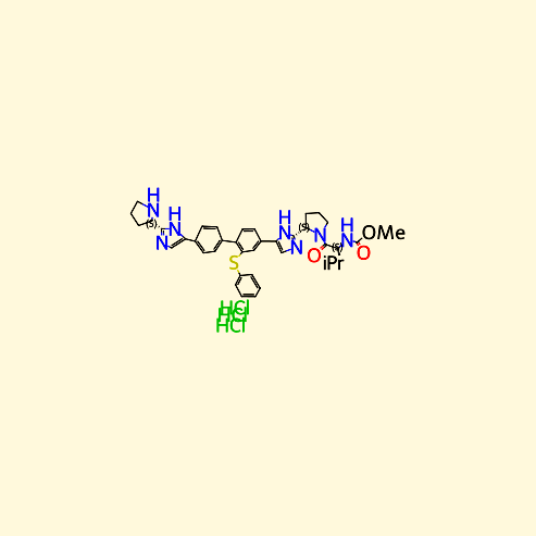 COC(=O)N[C@H](C(=O)N1CCC[C@H]1c1ncc(-c2ccc(-c3ccc(-c4cnc([C@@H]5CCCN5)[nH]4)cc3)c(Sc3ccccc3)c2)[nH]1)C(C)C.Cl.Cl.Cl